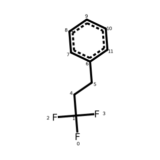 FC(F)(F)CCc1c[c]ccc1